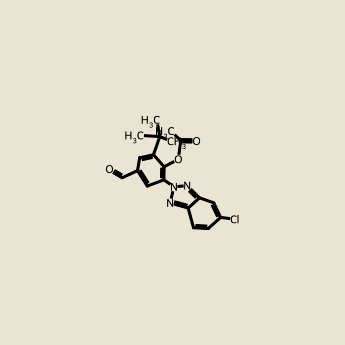 CC(=O)Oc1c(-n2nc3ccc(Cl)cc3n2)cc(C=O)cc1C(C)(C)C